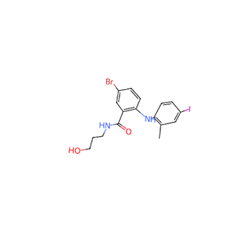 Cc1cc(I)ccc1Nc1ccc(Br)cc1C(=O)NCCCO